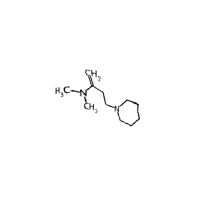 C=C(CCN1CCCCC1)N(C)C